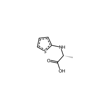 C[C@@H](Nc1cccs1)C(=O)O